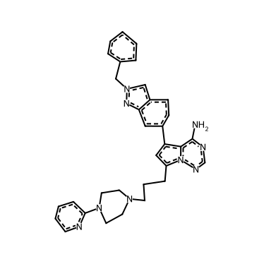 Nc1ncnn2c(CCCN3CCN(c4ccccn4)CC3)cc(-c3ccc4cn(Cc5ccccc5)nc4c3)c12